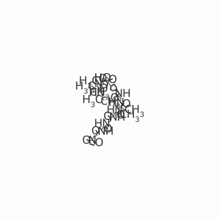 CC(C)CNC(=O)[C@H](C(C)C)N(C)C(=O)OC(C(=O)O)c1ccc(NC(=O)CNC(=O)[C@@H](NC(=O)CNC(=O)CNC(=O)CNC(=O)CCN2C(=O)C=CC2=O)C(C)C)cc1